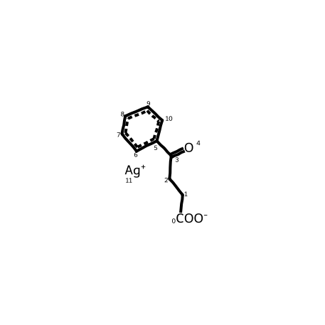 O=C([O-])CCC(=O)c1ccccc1.[Ag+]